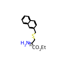 CCOC(=O)[C@@H](N)CSCc1ccc2ccccc2c1